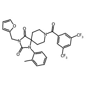 Cc1ccccc1N1C(=O)N(Cc2ccco2)C(=O)C12CCN(C(=O)c1cc(C(F)(F)F)cc(C(F)(F)F)c1)CC2